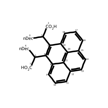 CCCCCCCCCCC(C(=O)O)c1c(C(CCCCCCCCCC)C(=O)O)c2cccc3ccc4cccc1c4c32